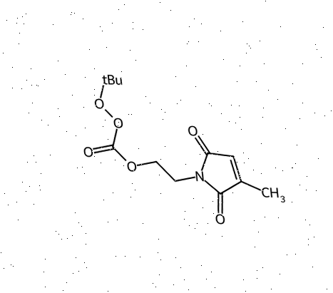 CC1=CC(=O)N(CCOC(=O)OOC(C)(C)C)C1=O